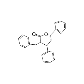 O=C1OC(c2ccccc2)=CC(c2ccccc2)C1Cc1ccccc1